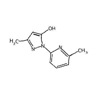 Cc1cccc(-n2nc(C)cc2O)n1